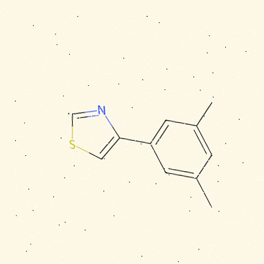 Cc1cc(C)cc(-c2cs[c]n2)c1